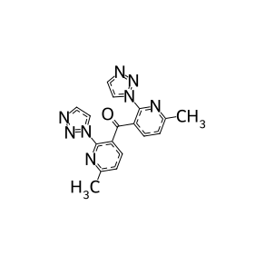 Cc1ccc(C(=O)c2ccc(C)nc2-n2ccnn2)c(-n2ccnn2)n1